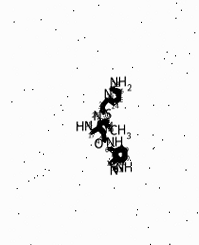 Cn1c(C(=O)NCc2cccc3[nH]ncc23)c(C=N)c2nc(Cc3cccc(N)n3)sc21